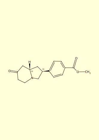 COC(=O)c1ccc([C@@H]2C[C@H]3CC(=O)CCN3C2)cc1